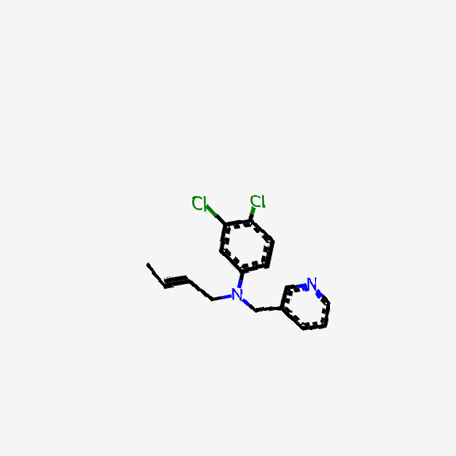 C/C=C/CN(Cc1cccnc1)c1ccc(Cl)c(Cl)c1